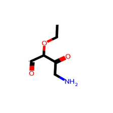 CCOC([C]=O)C(=O)CN